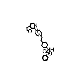 O=S(=O)(NC1CCC(CCN2CCN(c3nccc4c3OCC4)CC2)CC1)c1ccccc1